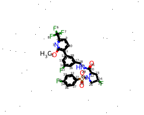 COc1nc(C(F)(F)F)ccc1-c1cc(F)cc(CNC(=O)C2CC(F)CN2S(=O)(=O)c2ccc(F)cc2)c1